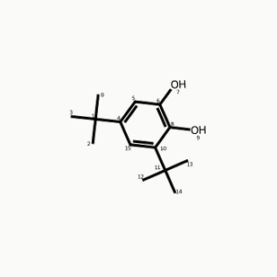 CC(C)(C)c1cc(O)c(O)c(C(C)(C)C)c1